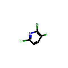 Fc1ccc(Br)nc1Br